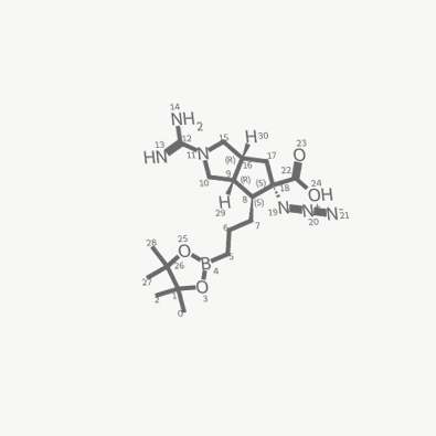 CC1(C)OB(CCC[C@H]2[C@@H]3CN(C(=N)N)C[C@@H]3C[C@@]2(N=[N+]=[N-])C(=O)O)OC1(C)C